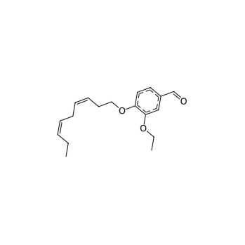 CC/C=C\C/C=C\CCOc1ccc(C=O)cc1OCC